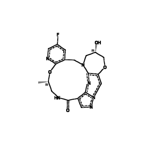 C[C@H]1CNC(=O)c2cnn3cc4c(nc23)N(Cc2cc(F)cnc2O1)C[C@H](O)CO4